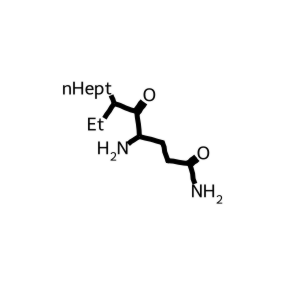 CCCCCCCC(CC)C(=O)C(N)CCC(N)=O